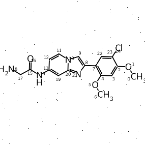 COc1cc(OC)c(-c2cn3ccc(NC(=O)CN)cc3n2)cc1Cl